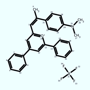 CC(=Cc1cc(-c2ccccc2)cc(-c2ccccc2)[o+]1)c1ccc(N(C)C)cc1.F[B-](F)(F)F